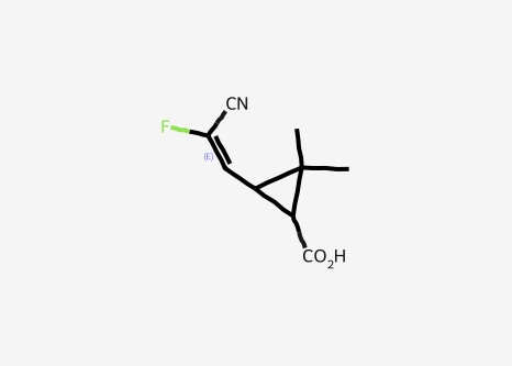 CC1(C)C(/C=C(/F)C#N)C1C(=O)O